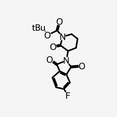 CC(C)(C)OC(=O)N1CCCC(N2C(=O)c3ccc(F)cc3C2=O)C1=O